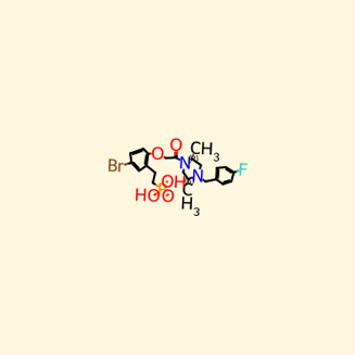 C[C@@H]1CN(Cc2ccc(F)cc2)[C@@H](C)CN1C(=O)COc1ccc(Br)cc1CCP(=O)(O)O